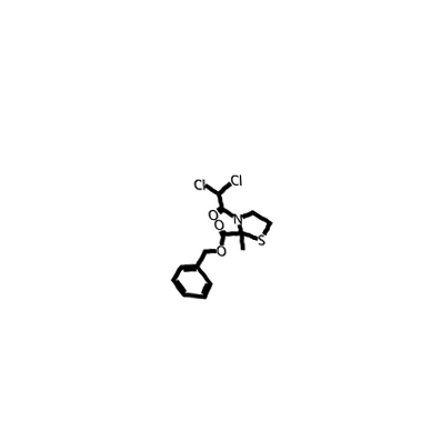 CC1(C(=O)OCc2ccccc2)SCCN1C(=O)C(Cl)Cl